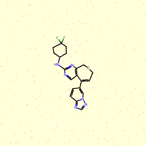 FC1(F)CCC(Nc2ncc3c(n2)CCCC=C3c2ccc3ncnn3c2)CC1